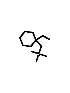 CCC1(CS(C)(C)C)CCCCC1